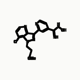 COCCn1nc(-c2cc(C(=N)NO)ccn2)c2nccc(Cl)c21